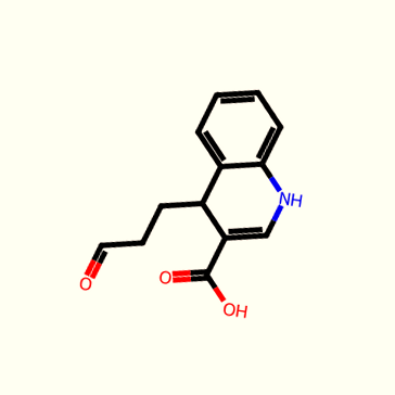 O=CCCC1C(C(=O)O)=CNc2ccccc21